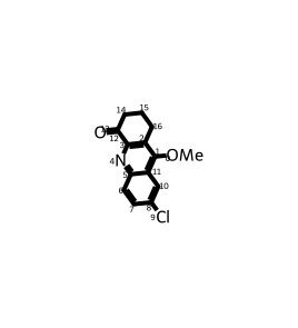 COc1c2c(nc3ccc(Cl)cc13)C(=O)CCC2